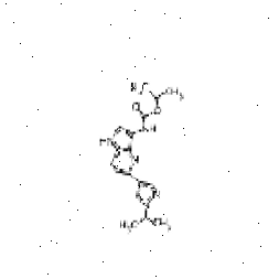 CC(C)OC(=O)Nc1c[nH]c2ccc(-c3cnn(C(C)C)c3)nc12